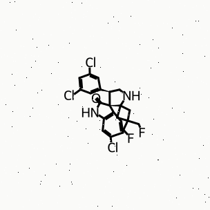 O=C1Nc2cc(Cl)ccc2[C@@]12[C@@H](c1cc(Cl)cc(Cl)c1)CNC21CC(CF)(CF)C1